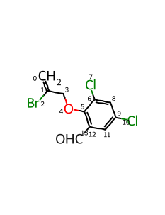 C=C(Br)COc1c(Cl)cc(Cl)cc1C=O